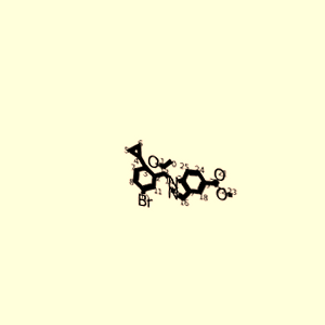 CCOC1(C2CC2)C=CC(Br)=CC1Cn1ncc2cc(C(=O)OC)ccc21